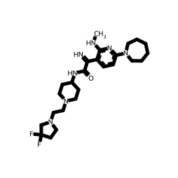 CNc1nc(N2CCCCCC2)ccc1C(=N)C(=O)NC1CCN(CCN2CCC(F)(F)C2)CC1